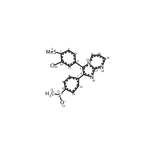 CSc1ccc(-c2c(-c3ccc([S+](C)[O-])cc3)nc3ncccn23)cc1Cl